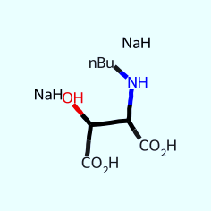 CCCCNC(C(=O)O)C(O)C(=O)O.[NaH].[NaH]